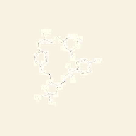 Cc1ccc(S(=O)(=O)OC[C@H]2OC(C)(C)O[C@H]2COc2ccc(CC(CC[C@H](NC(=O)OC(C)(C)C)C(=O)O)C(=O)O)cc2)cc1